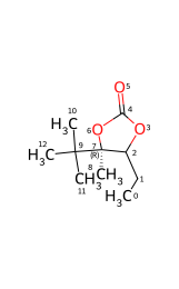 CCC1OC(=O)O[C@]1(C)C(C)(C)C